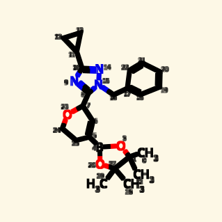 CC1(C)OB(C2=CC(c3nc(C4CC4)nn3Cc3ccccc3)OCC2)OC1(C)C